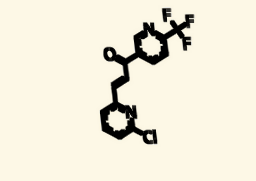 O=C(/C=C/c1cccc(Cl)n1)c1ccc(C(F)(F)F)nc1